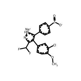 COc1ccc(-c2c(C(F)F)n[nH]c2-c2ccc(S(=O)[O-])cc2)cc1Cl.[Na+]